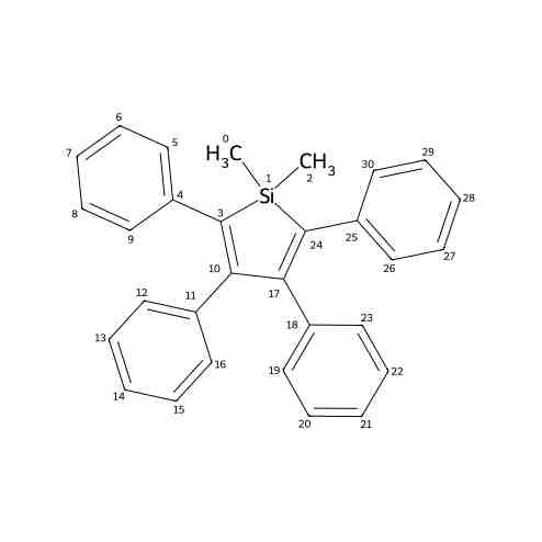 C[Si]1(C)C(c2ccccc2)=C(c2ccccc2)C(c2ccccc2)=C1c1ccccc1